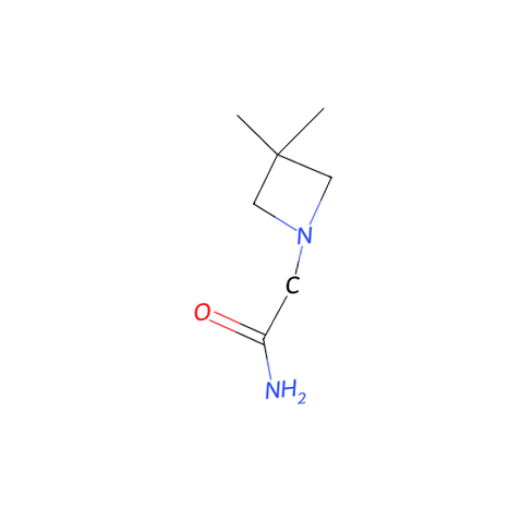 CC1(C)CN(CC(N)=O)C1